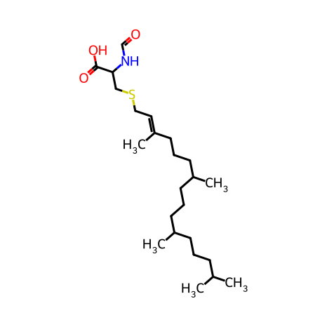 C/C(=C\CSCC(NC=O)C(=O)O)CCCC(C)CCCC(C)CCCC(C)C